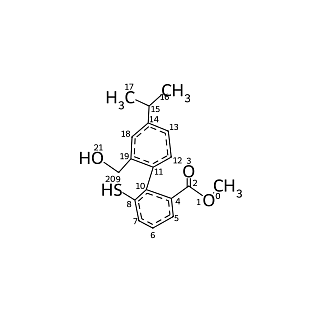 COC(=O)c1cccc(S)c1-c1ccc(C(C)C)cc1CO